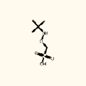 CC(C)(C)NOCS(=O)(=O)O